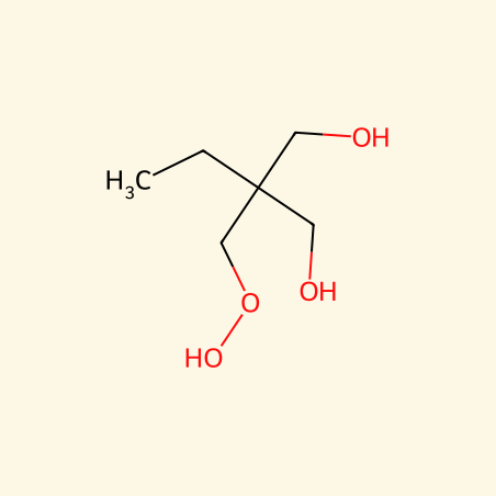 CCC(CO)(CO)COO